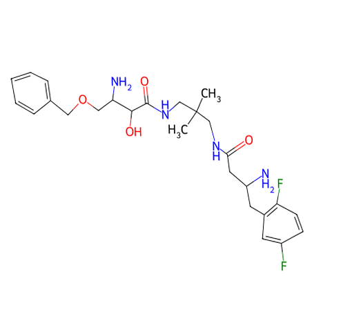 CC(C)(CNC(=O)CC(N)Cc1cc(F)ccc1F)CNC(=O)C(O)C(N)COCc1ccccc1